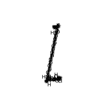 COC(=O)[C@H](Cc1ccc(NC(=O)c2c(Cl)cccc2Cl)cc1)NC(=O)C1(CCNC(=O)CCOCCOCCOCCOCCOCCOCCOCCOCCOCCOCCOCCOCCNC(=O)OCC2c3ccccc3-c3ccccc32)CCCC1